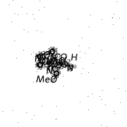 COc1cccc(-c2ncc3snc(O[C@H](Cc4ccccc4OCc4ccnc(-c5ccccc5OC)n4)C(=O)O)c3c2C2=C(C)C(Cl)=C(OCCN(C)C)CC2)c1